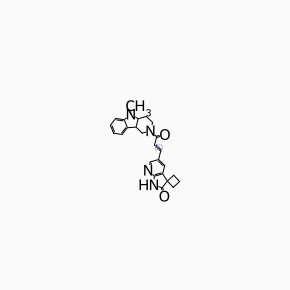 CN1c2ccccc2C2CN(C(=O)/C=C/c3cnc4c(c3)C3(CCC3)C(=O)N4)CCC21